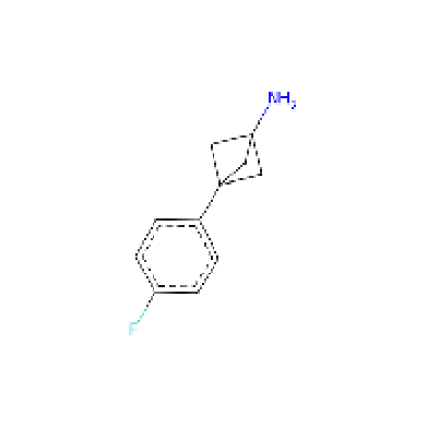 NC12CC(c3ccc(F)cc3)(C1)C2